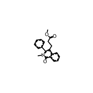 COC(=O)CCc1c(-c2ccccc2)n(C)c(=O)c2ccccc12